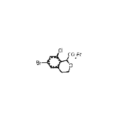 CCOC(=O)C1OCCc2cc(Br)cc(Cl)c21